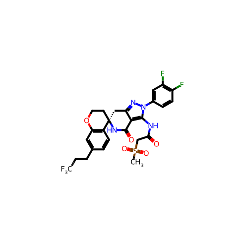 CS(=O)(=O)CC(=O)Nc1c2c(nn1-c1ccc(F)c(F)c1)C[C@]1(CCOc3cc(CCC(F)(F)F)ccc31)NC2=O